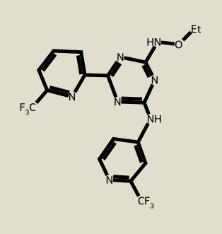 CCONc1nc(Nc2ccnc(C(F)(F)F)c2)nc(-c2cccc(C(F)(F)F)n2)n1